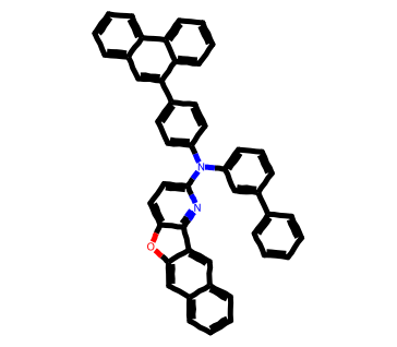 c1ccc(-c2cccc(N(c3ccc(-c4cc5ccccc5c5ccccc45)cc3)c3ccc4oc5cc6ccccc6cc5c4n3)c2)cc1